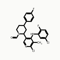 Cc1c(Cl)ncc(C2CC(c3ccc(F)cc3)CCN2C=O)c1Nc1cc(Cl)ccc1F